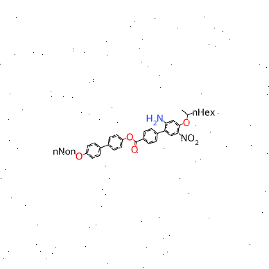 CCCCCCCCCOc1ccc(-c2ccc(OC(=O)c3ccc(-c4cc([N+](=O)[O-])c(OC(C)CCCCCC)cc4N)cc3)cc2)cc1